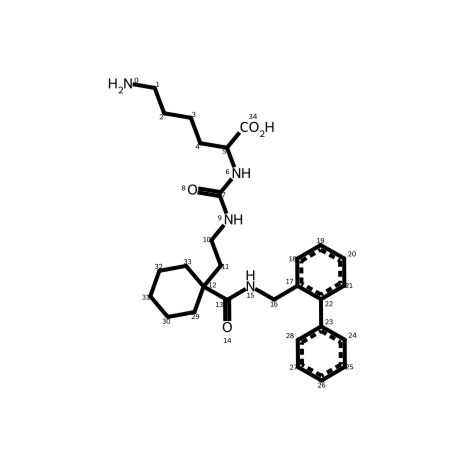 NCCCCC(NC(=O)NCCC1(C(=O)NCc2ccccc2-c2ccccc2)CCCCC1)C(=O)O